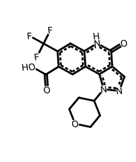 O=C(O)c1cc2c(cc1C(F)(F)F)[nH]c(=O)c1cnn(C3CCOCC3)c12